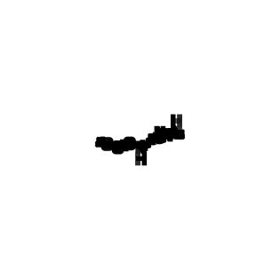 CC(C)(C)COCCO[C@H]1C[C@H](OCCNC(C)(C)CCC(C)(C)c2ccc(N3CC(NC(C)(C)C)C3)nc2)C1